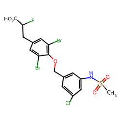 CS(=O)(=O)Nc1cc(Cl)cc(COc2c(Br)cc(CC(F)C(=O)O)cc2Br)c1